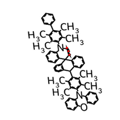 Cc1c(C)c(N2c3ccccc3C3(c4ccccc4C(c4c(C)c(C)c(N5c6ccccc6Oc6ccccc65)c(C)c4C)c4ccccc43)c3ccccc32)c(C)c(C)c1-c1ccccc1